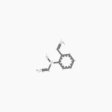 C=Cc1ccccc1[S+]([O-])C=C